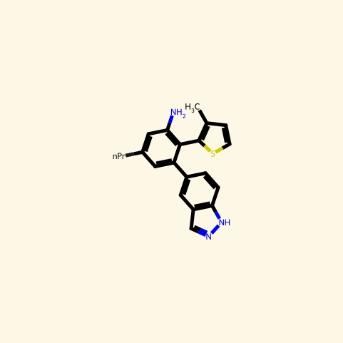 CCCc1cc(N)c(-c2sccc2C)c(-c2ccc3[nH]ncc3c2)c1